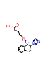 O=C(O)CCCCO/N=C1\c2ccccc2CCC1n1ccnc1